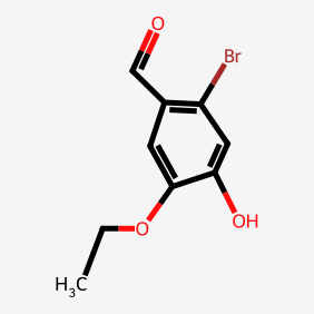 CCOc1cc(C=O)c(Br)cc1O